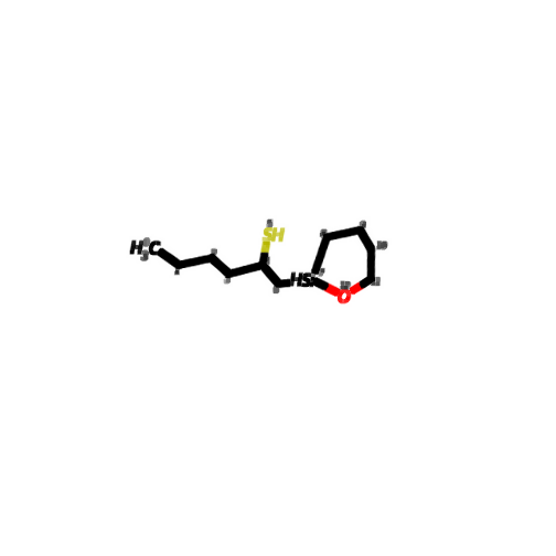 CCCCC(S)C[SiH]1CCCCO1